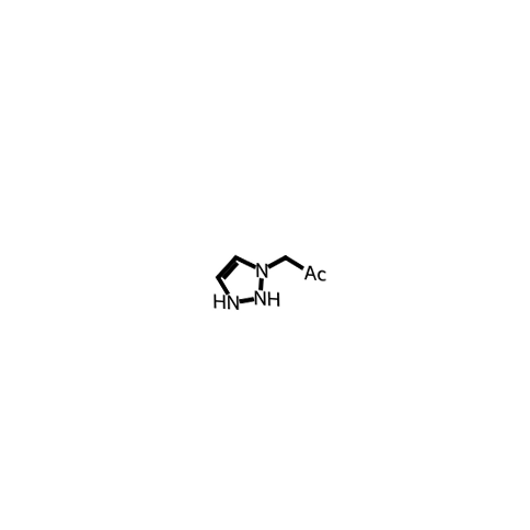 CC(=O)CN1C=CNN1